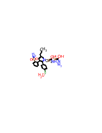 C.CCCc1cnc(-c2ccc(F)cc2)c(-c2ccccc2S(N)(=O)=O)c1.NC(O)=S.NC(O)=S.O